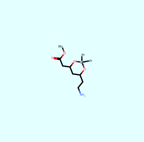 CC(C)[Si]1(C(C)C)OC(CCN)CC(CC(=O)OC(C)(C)C)O1